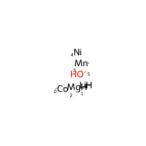 [Co].[LiH].[MgH+].[Mn].[Ni].[OH-]